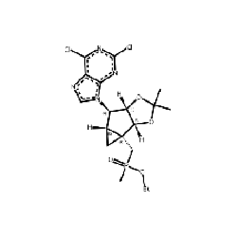 CCOP(C)(=O)C[C@]12C[C@@H]1[C@@H](n1cnc3c(Cl)nc(Cl)nc31)[C@@H]1OC(C)(C)O[C@@H]12